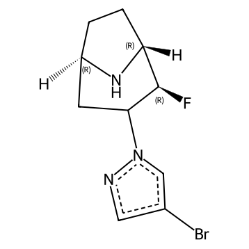 F[C@H]1C(n2cc(Br)cn2)C[C@H]2CC[C@H]1N2